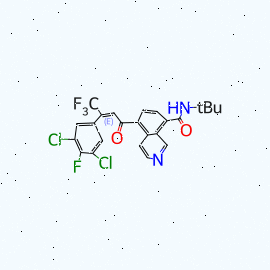 CC(C)(C)NC(=O)c1ccc(C(=O)/C=C(\c2cc(Cl)c(F)c(Cl)c2)C(F)(F)F)c2ccncc12